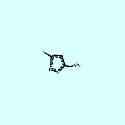 Nc1cc(F)[nH]n1